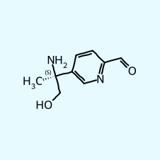 C[C@@](N)(CO)c1ccc(C=O)nc1